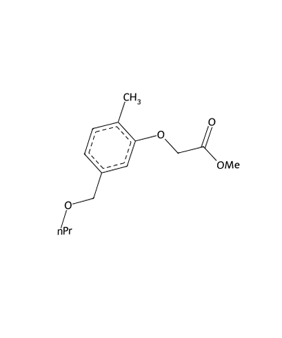 CCCOCc1ccc(C)c(OCC(=O)OC)c1